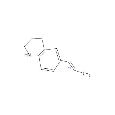 C/C=C/c1ccc2c(c1)CCCN2